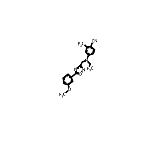 N#Cc1ccc(N(Cc2noc(-c3cccc(OC(F)(F)F)c3)n2)CC(F)(F)F)cc1C(F)(F)F